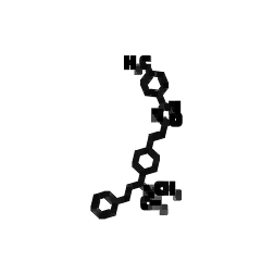 Cc1ccc(-c2noc(C=CC3CCC(C(CCc4ccccc4)N(C)C)CC3)n2)cc1